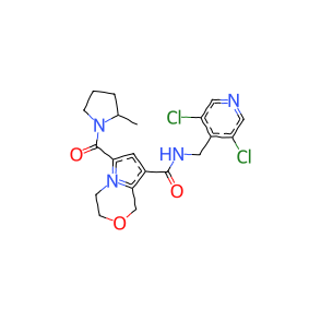 CC1CCCN1C(=O)c1cc(C(=O)NCc2c(Cl)cncc2Cl)c2n1CCOC2